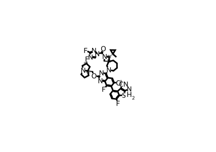 CC1([C@H]2N(C(=O)n3cnc(F)n3)C[C@]23CCCCN(c2nc(OC[C@@]45CCCN4C[C@H](F)C5)nc4c(F)c(-c5ccc(F)c6sc(N)c(C#N)c56)c(Cl)cc24)C3)CC1